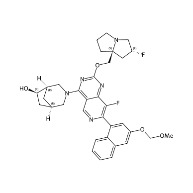 COCOc1cc(-c2ncc3c(N4C[C@@H]5C[C@H](C4)[C@H](O)C5)nc(OC[C@@]45CCCN4C[C@H](F)C5)nc3c2F)c2ccccc2c1